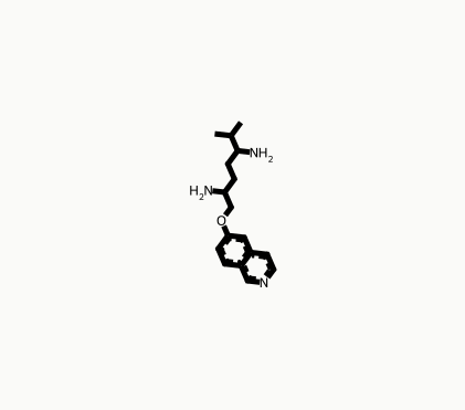 CC(C)C(N)CCC(N)COc1ccc2cnccc2c1